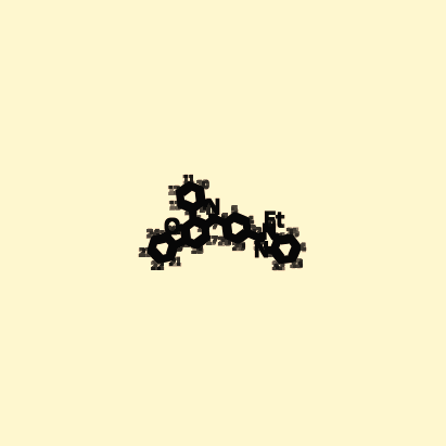 CCn1c(-c2ccc(-c3nc4ccccc4c4c3ccc3c5ccccc5oc34)cc2)nc2ccccc21